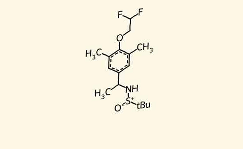 Cc1cc(C(C)N[S+]([O-])C(C)(C)C)cc(C)c1OCC(F)F